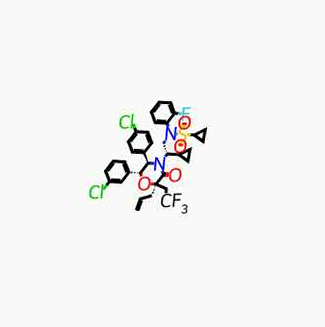 C=CC[C@]1(CC(F)(F)F)O[C@H](c2cccc(Cl)c2)[C@@H](c2ccc(Cl)cc2)N([C@H](CN(c2ccccc2F)S(=O)(=O)C2CC2)C2CC2)C1=O